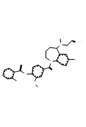 C=CCN(C)C1CCCN(C(=O)c2ccc(NC(=O)c3ccccc3Cl)c(OC)c2)c2ccc(Cl)cc21